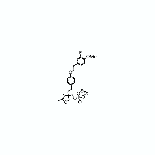 CCOP(=O)(OCC)OCC1(CCc2ccc(OCCc3ccc(OC)c(F)c3)cc2)COC(C)=N1